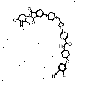 N#Cc1ccc(OC2CCC(NC(=O)c3cnc(N4CC(CN5CCN(c6ccc7c(c6)C(=O)N(C6CCC(=O)NC6=O)C7=O)CC5)C4)cn3)CC2)cc1Cl